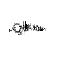 CC(C)N1CCN(C2=CCC(NC3NCC4CC5C(O)CNCCCCCCC5C4N3)CC2)CC1